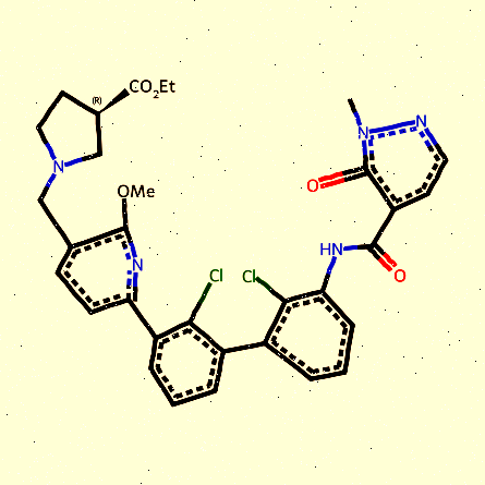 CCOC(=O)[C@@H]1CCN(Cc2ccc(-c3cccc(-c4cccc(NC(=O)c5ccnn(C)c5=O)c4Cl)c3Cl)nc2OC)C1